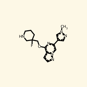 Cn1cc(-c2cn3nccc3c(OCC3(F)CCCNC3)n2)cn1